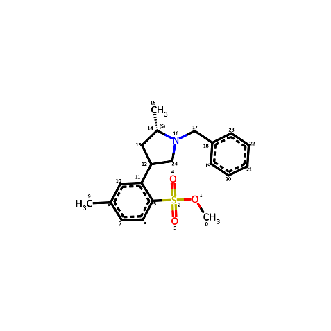 COS(=O)(=O)c1ccc(C)cc1C1C[C@H](C)N(Cc2ccccc2)C1